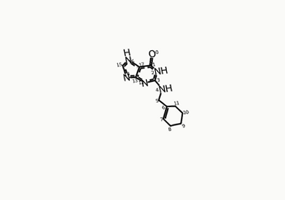 O=c1[nH]c(NCC2=CCCCC2)nc2nc[nH]c12